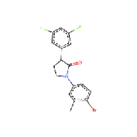 Cc1cc(N2CCC(c3cc(F)cc(F)c3)C2=O)ccc1Br